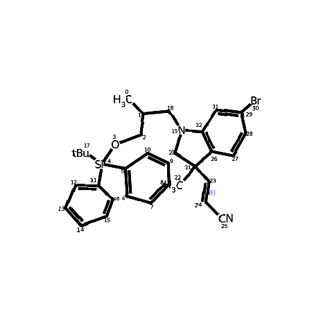 CC(CO[Si](c1ccccc1)(c1ccccc1)C(C)(C)C)CN1CC(C)(/C=C/C#N)c2ccc(Br)cc21